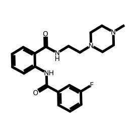 CN1CCN(CCNC(=O)c2ccccc2NC(=O)c2cccc(F)c2)CC1